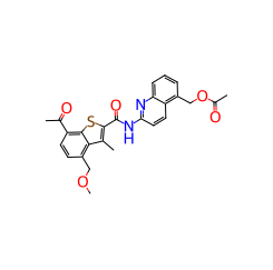 COCc1ccc(C(C)=O)c2sc(C(=O)Nc3ccc4c(COC(C)=O)cccc4n3)c(C)c12